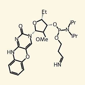 CC[C@H]1O[C@@H](n2cc3c(nc2=O)Nc2ccccc2O3)C(OC)[C@H]1OP(OCCC=N)N(C(C)C)C(C)C